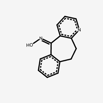 O/N=C1\c2ccccc2CCc2ncccc21